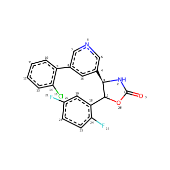 O=C1N[C@H](c2cncc(-c3ccccc3Cl)c2)C(c2cc(F)ccc2F)O1